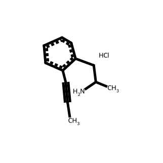 CC#Cc1ccccc1CC(C)N.Cl